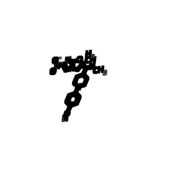 CNC(C1CCN(c2ccc(C#N)cc2)CC1)[C@]1(C)Cn2cc([N+](=O)[O-])nc2O1